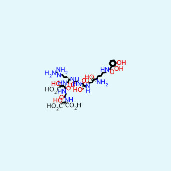 NC(N)=NCCC[C@H](NC(=O)CNC(=O)[C@@H](CO)NC(=O)C[C@H](O)[C@H](N)CCCCNC(=O)c1cccc(O)c1O)C(=O)N[C@H](C(=O)NCC(=O)N[C@H](C(=O)O)[C@H](O)C(=O)O)[C@H](O)C(=O)O